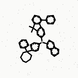 CC1(C)c2cc(N(c3ccc(C4(c5ccccc5)CCCCCC4)cc3)c3ccc4ccccc4c3)ccc2-c2c(-c3ccccc3)cccc21